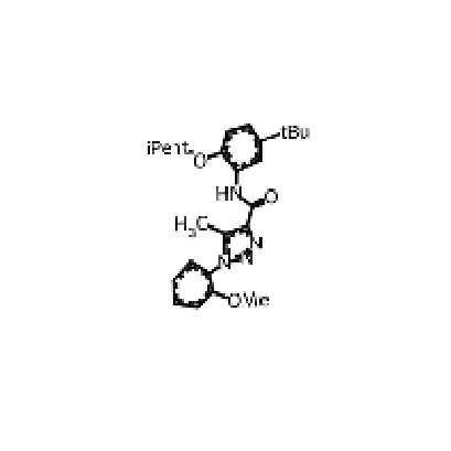 CCCC(C)Oc1ccc(C(C)(C)C)cc1NC(=O)c1nnn(-c2ccccc2OC)c1C